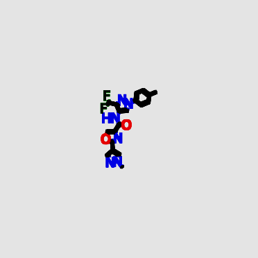 Cc1ccc(-n2cc(NC(=O)c3coc(-c4cnn(C)c4)n3)c(C(F)F)n2)cc1